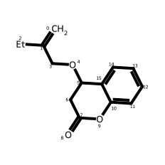 C=C(CC)COC1CC(=O)Oc2ccccc21